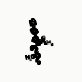 CN1C(C=O)CCN1CCN(C=O)c1cn(C(N)=O)c2cc(-c3ccc(N4CCOCC4)cc3)ccc12